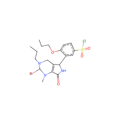 CCCOc1ccc(S(=O)(=O)Cl)cc1C1NC(=O)C2=C1CN(CCC)C(Br)N2C